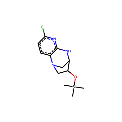 C[Si](C)(C)OC1CN2CC1Nc1nc(Cl)ccc12